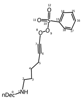 CCCCCCCCCCNCCCCC#COOS(=O)(=O)c1ccccc1